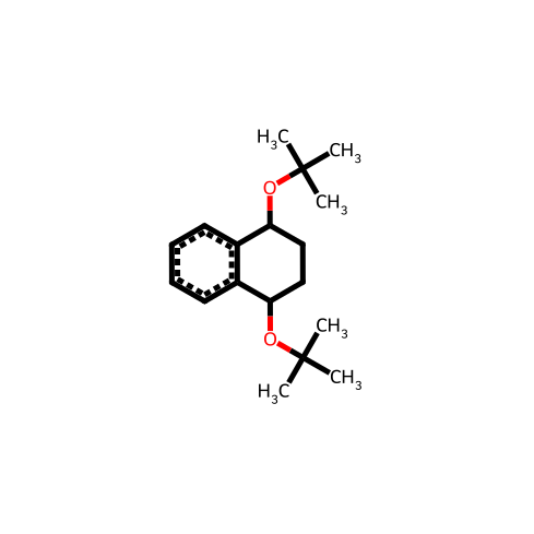 CC(C)(C)OC1CCC(OC(C)(C)C)c2ccccc21